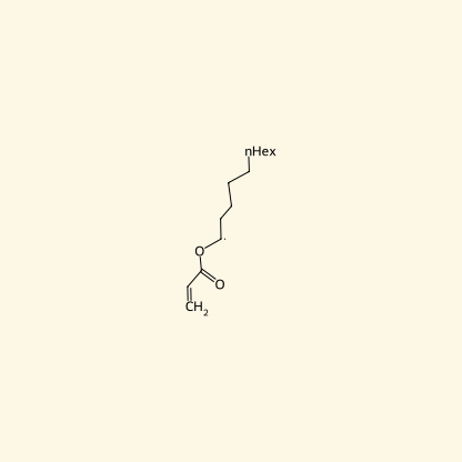 C=CC(=O)O[CH]CCCCCCCCCC